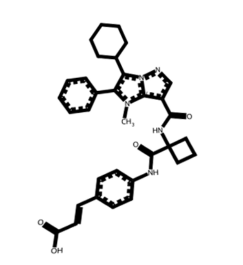 Cn1c(-c2ccccc2)c(C2CCCCC2)n2ncc(C(=O)NC3(C(=O)Nc4ccc(C=CC(=O)O)cc4)CCC3)c12